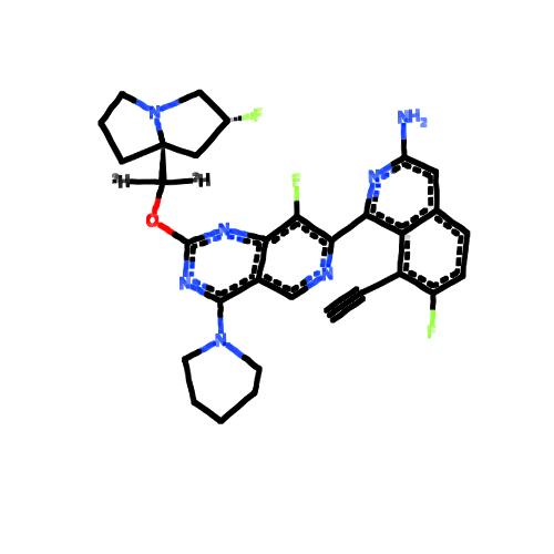 [2H]C([2H])(Oc1nc(N2CCCCC2)c2cnc(-c3nc(N)cc4ccc(F)c(C#C)c34)c(F)c2n1)[C@@]12CCCN1C[C@H](F)C2